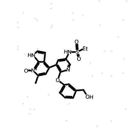 CCS(=O)(=O)Nc1cnc(Oc2cccc(CO)c2)c(-c2cc(C)[n+]([O-])c3[nH]ccc23)c1